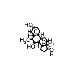 C=C1[C@H](O)[C@@H]2[C@H](CC[C@]3(C)[C@@H](O)CC[C@@]23O)[C@@]2(C)CC[C@@H](O)C[C@@H]12